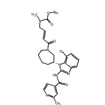 Cc1cc(C(=O)Nc2nc3cccc(Cl)c3n2[C@@H]2CCCCN(C(=O)/C=C/CN(C)C(=O)OC(C)(C)C)C2)ccn1